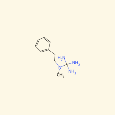 CN(CCc1ccccc1)C(N)(N)N